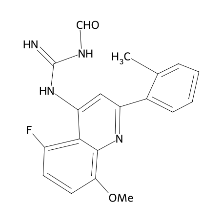 COc1ccc(F)c2c(NC(=N)NC=O)cc(-c3ccccc3C)nc12